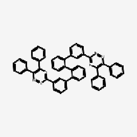 c1ccc(-c2nnc(-c3cccc(-c4ccccc4-c4ccccc4-c4cccc(-c5nnc(-c6ccccc6)c(-c6ccccc6)n5)c4)c3)nc2-c2ccccc2)cc1